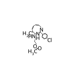 C=C1/C=C\C=C/C/N=C(/c2ccc(Cl)cc2)NC1NCCCOC(C)=O